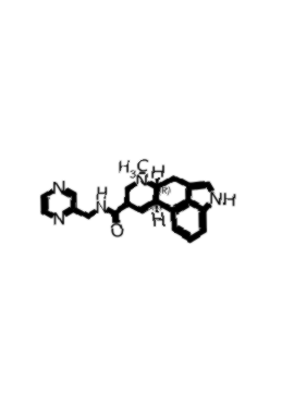 CN1CC(C(=O)NCc2cnccn2)C[C@@H]2c3cccc4[nH]cc(c34)C[C@H]21